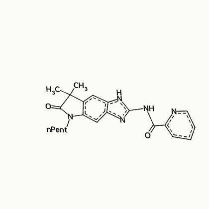 CCCCCN1C(=O)C(C)(C)c2cc3[nH]c(NC(=O)c4ccccn4)nc3cc21